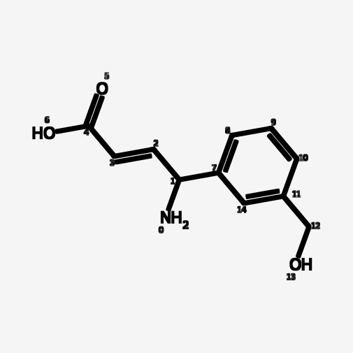 NC(C=CC(=O)O)c1cccc(CO)c1